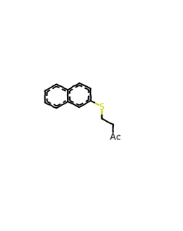 CC(=O)CCSc1ccc2ccccc2c1